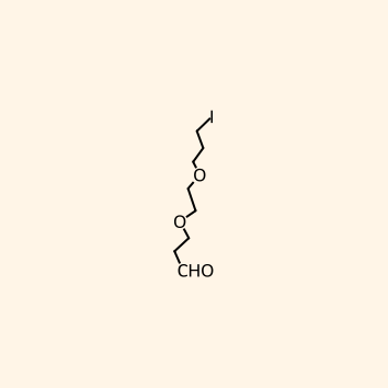 O=CCCOCCOCCCI